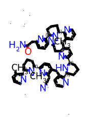 Cc1cccnc1[C@@H]1CCC[C@H](c2ccc(Cc3cccnc3[C@@H]3CCC[C@H](c4ccc(Cc5cccnc5[C@@H]5CCC[C@H](c6cccc(CC(N)=O)n6)N5C)c(CC#N)n4)N3)c(CC#N)n2)N1C